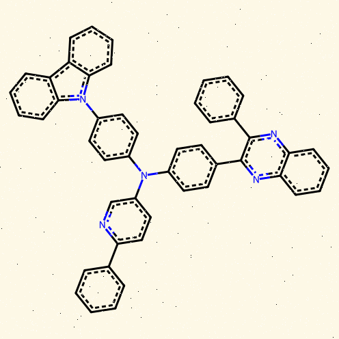 c1ccc(-c2ccc(N(c3ccc(-c4nc5ccccc5nc4-c4ccccc4)cc3)c3ccc(-n4c5ccccc5c5ccccc54)cc3)cn2)cc1